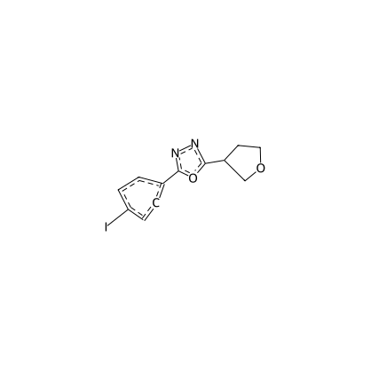 Ic1ccc(-c2nnc(C3CCOC3)o2)cc1